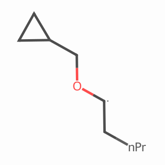 CCCC[CH]OCC1CC1